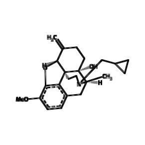 C=C1CC[C@@]2(O)[C@H]3Cc4ccc(OC)c5c4[C@@]2(CC[N+]3(C)CC2CC2)[C@H]1O5